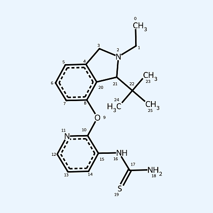 CCN1Cc2cccc(Oc3ncccc3NC(N)=S)c2C1C(C)(C)C